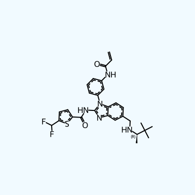 C=CC(=O)Nc1cccc(-n2c(NC(=O)c3ccc(C(F)F)s3)nc3cc(CN[C@H](C)C(C)(C)C)ccc32)c1